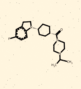 CC(C)N1CCN(C(=O)[C@H]2CC[C@@H](N3CCc4cc(F)ccc43)CC2)CC1